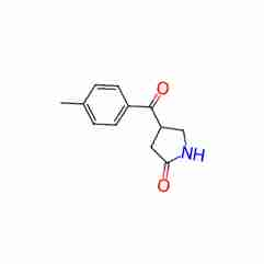 Cc1ccc(C(=O)C2CNC(=O)C2)cc1